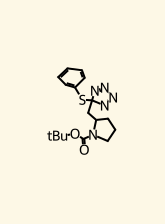 CC(C)(C)OC(=O)N1CCCC1CC1(Sc2ccccc2)N=NN=N1